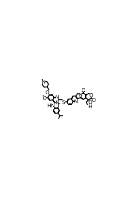 CC[C@@]1(O)C(=O)OCc2c1cc1n(c2=O)Cc2cc3cc(SCc4nc(Nc5ccc(C(C)C)cc5F)c5cc(OC)c(OCC6CCN(C)CC6)cc5n4)ccc3nc2-1